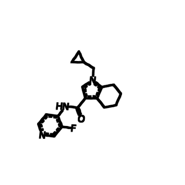 O=C(Nc1ccncc1F)c1cn(CC2CC2)c2c1CCCC2